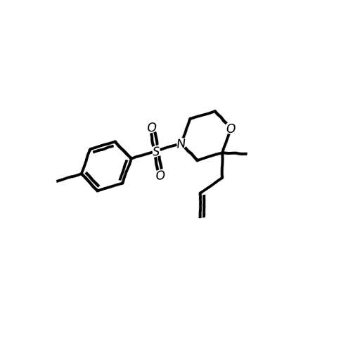 C=CCC1(C)CN(S(=O)(=O)c2ccc(C)cc2)CCO1